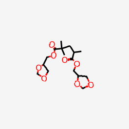 CC(CC(C)(C)C(=O)OCC1COCO1)C(=O)OCC1COCO1